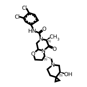 C[C@H]1C(=O)N2C(CN1C(=O)Nc1ccc(Cl)c(Cl)c1)OCC[C@H]2CN1CCC2(CC2)[C@H](O)C1